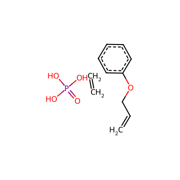 C=C.C=CCOc1ccccc1.O=P(O)(O)O